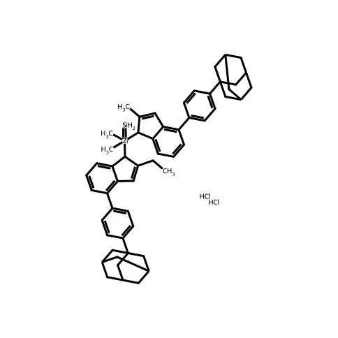 CCC1=Cc2c(-c3ccc(C45CC6CC(CC(C6)C4)C5)cc3)cccc2[CH]1[Zr]([CH3])([CH3])(=[SiH2])[CH]1C(C)=Cc2c(-c3ccc(C45CC6CC(CC(C6)C4)C5)cc3)cccc21.Cl.Cl